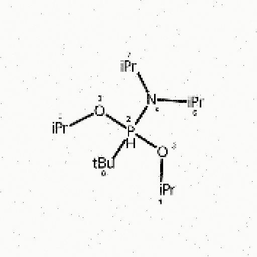 CC(C)O[PH](OC(C)C)(N(C(C)C)C(C)C)C(C)(C)C